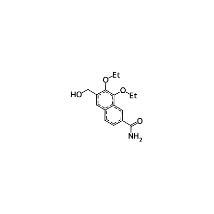 CCOc1c(CO)cc2ccc(C(N)=O)cc2c1OCC